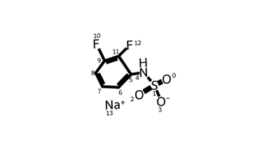 O=S(=O)([O-])Nc1cccc(F)c1F.[Na+]